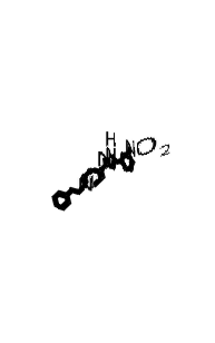 O=[N+]([O-])c1cccc(-c2cc(C3CCN(CCc4ccccc4)CC3)n[nH]2)c1